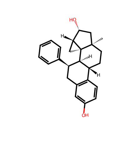 C[C@]12CC[C@@H]3c4ccc(O)cc4C[C@@H](c4ccccc4)[C@H]3[C@]13C[C@@H]3[C@H](O)C2